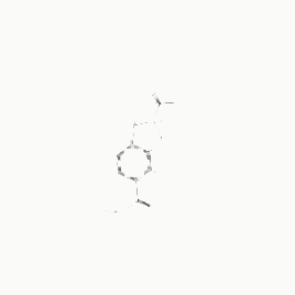 COC(=O)c1ccc2c(c1)CN(C(=O)C(F)(F)F)C2